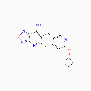 Cc1nc2nonc2c(N)c1Cc1ccc(OC2CCC2)nc1